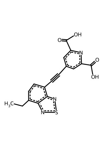 CCc1ccc(C#Cc2cc(C(=O)O)nc(C(=O)O)c2)c2nsnc12